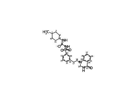 CC1CCC(NC(=O)NS(=O)(=O)c2cccc(CCN3CNC(=O)c4ccccc43)c2)CC1